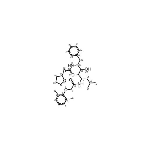 Cc1cccc(C)c1OCC(=O)N[C@@H](CC(C)C)C[C@H](O)[C@H](Cc1ccccc1)NC(=O)OC1CCCO1